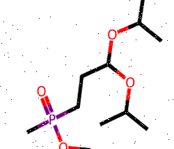 COP(C)(=O)CCC(OC(C)C)OC(C)C